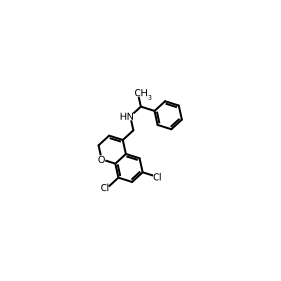 CC(NCC1=CCOc2c(Cl)cc(Cl)cc21)c1ccccc1